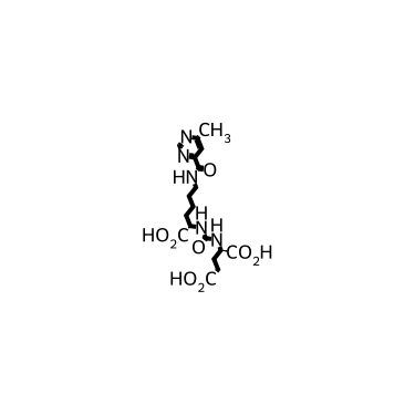 Cc1cc(C(=O)NCCCC[C@H](NC(=O)N[C@@H](CCC(=O)O)C(=O)O)C(=O)O)ncn1